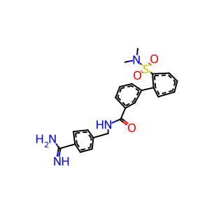 CN(C)S(=O)(=O)c1ccccc1-c1cccc(C(=O)NCc2ccc(C(=N)N)cc2)c1